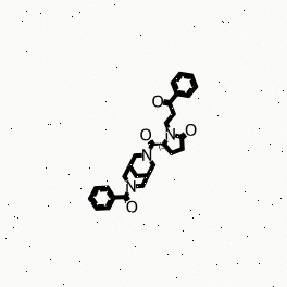 O=C(CCN1C(=O)CC[C@H]1C(=O)N1CC2CC(CN(C(=O)c3ccccc3)C2)C1)c1ccccc1